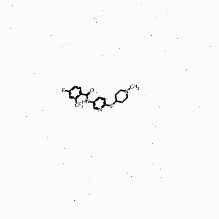 CN1CCC(Sc2ccc(NC(=O)c3ccc(F)cc3C(F)(F)F)cn2)CC1